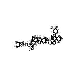 COc1cc2c(Oc3ccc(NC(=O)c4nn(-c5cccc(F)c5)c5ccccc5c4=O)cc3F)cnnc2cc1OCCCN1CCCCC1